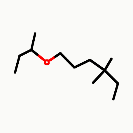 CCC(C)OCCCC(C)(C)CC